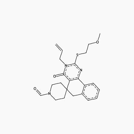 C=CCn1c(SCCOC)nc2c(c1=O)C1(CCN(C=O)CC1)Cc1ccccc1-2